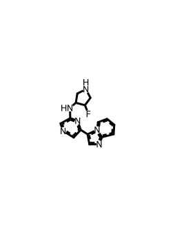 FC1CNCC1Nc1cncc(-c2cnc3ccccn23)n1